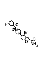 NC(=O)c1cc2c(Br)c(N3CCN(S(=O)(=O)c4cccc(F)c4)CC3)ccc2o1